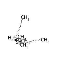 CCCCCCCCCCC[C](C)(C)[Sn][O][Sn][C](C)(C)CCCCCCCCCCC